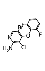 Nc1ncc(Br)c(Oc2c(F)cccc2F)c1Cl